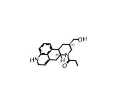 CCC(=O)N1C[C@H](CO)CC2c3cccc4c3C(=CCN4)C[C@H]21